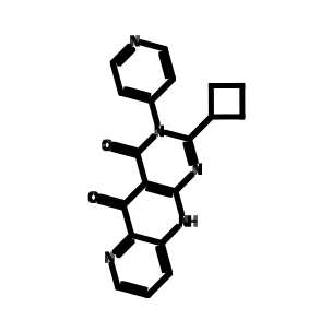 O=c1c2ncccc2[nH]c2nc(C3CCC3)n(-c3ccncc3)c(=O)c12